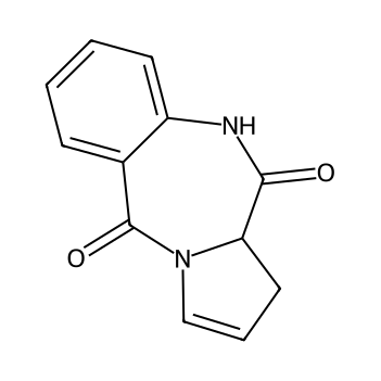 O=C1Nc2ccccc2C(=O)N2C=CCC12